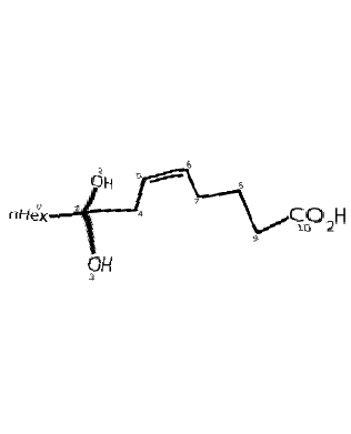 CCCCCCC(O)(O)C/C=C\CCCC(=O)O